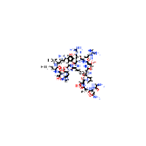 CC(C)[C@H](NC(=O)[C@H](CC(N)=O)NC(=O)CN)C(=O)N[C@@H](CO)C(=O)N1CCC[C@H]1C(=O)NCC(=O)N[C@H](C(=O)N[C@@H](CCCNC(=N)N)C(=O)N[C@@H](CCCNC(=N)N)C(=O)N[C@@H](CCC(=O)O)C(=O)N[C@@H](Cc1ccc(O)cc1)C(=O)N[C@@H](Cc1c[nH]cn1)C(=O)N[C@H](C(=O)N[C@@H](CCC(=O)O)C(=O)N[C@@H](CCCCN)C(=O)O)[C@@H](C)O)[C@@H](C)O